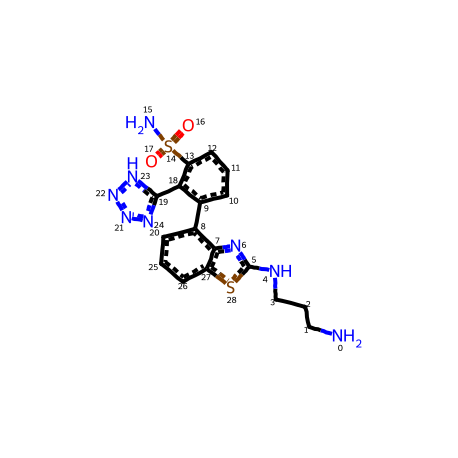 NCCCNc1nc2c(-c3cccc(S(N)(=O)=O)c3-c3nnn[nH]3)cccc2s1